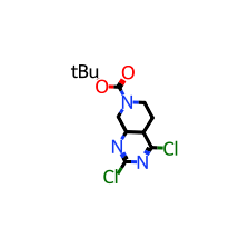 CC(C)(C)OC(=O)N1CCC2C(Cl)=NC(Cl)=NC2C1